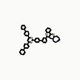 C1=C(c2ccccc2)CCC(c2cc(-c3ccc(-c4ccccc4)cc3)nc(-c3ccc(-c4cccc(-c5nc6ccccc6c6c5CC5CC/C=C\C=C/C5=N6)c4)cc3)n2)=C1